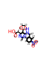 Cc1nc(CC(=O)O)c(C2OCCO2)c(N[C@H](C)c2cccc([N+](=O)[O-])c2C)n1